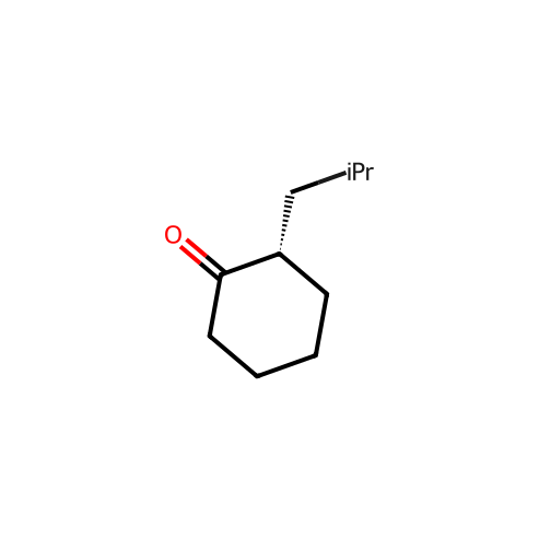 CC(C)C[C@@H]1CCCCC1=O